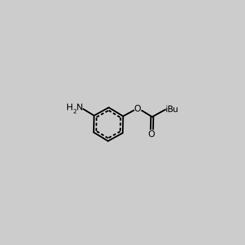 CCC(C)C(=O)Oc1cccc(N)c1